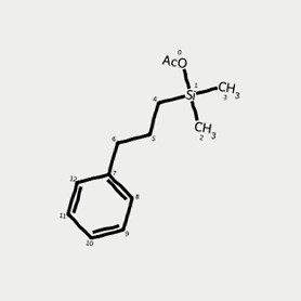 [CH2]C(=O)O[Si](C)(C)CCCc1ccccc1